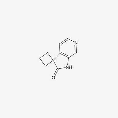 O=C1Nc2cnccc2C12CCC2